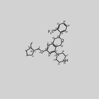 CN1CCC[C@@H]1COc1nc2c(c(N3CCNCC3)n1)COC(c1ccccc1C(F)(F)F)C2